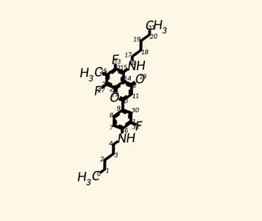 CCCCCNc1ccc(-c2cc(=O)c3c(NCCCCC)c(F)c(C)c(F)c3o2)cc1F